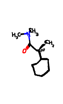 C[C@H](C(=O)N(C)C)C1CCCCC1